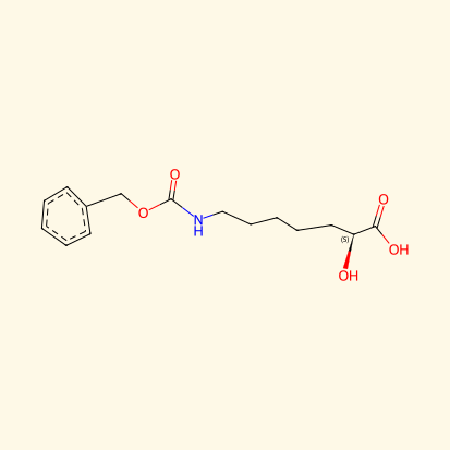 O=C(NCCCCC[C@H](O)C(=O)O)OCc1ccccc1